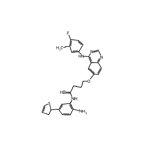 B=C(CCCOc1ccc2ncnc(Nc3ccc(F)c(C)c3)c2c1)Nc1cc(C2CC=CS2)ccc1N